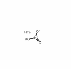 O=[N+]([O-])O.[TeH]